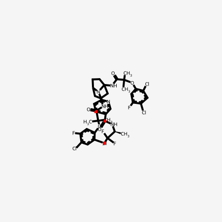 C[C@H](NC(=O)c1ccc(N2C3CCC2(NC(=O)C(C)(C)Oc2cc(F)c(Cl)cc2Cl)CC(NC(=O)C(C)(C)Oc2cc(F)c(Cl)cc2Cl)C3)nc1)C(F)(F)F